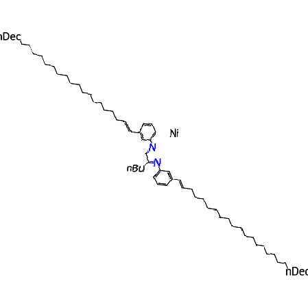 CCCCCCCCCCCCCCCCCCCCCCCCCCCC=Cc1cccc(N=CC(CCCC)=Nc2cccc(C=CCCCCCCCCCCCCCCCCCCCCCCCCCCC)c2)c1.[Ni]